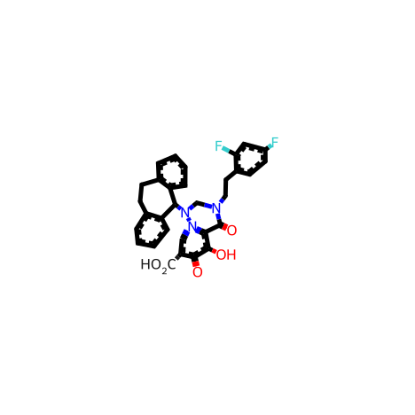 O=C(O)c1cn2c(c(O)c1=O)C(=O)N(CCc1ccc(F)cc1F)CN2C1c2ccccc2CCc2ccccc21